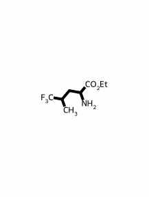 CCOC(=O)C(N)CC(C)C(F)(F)F